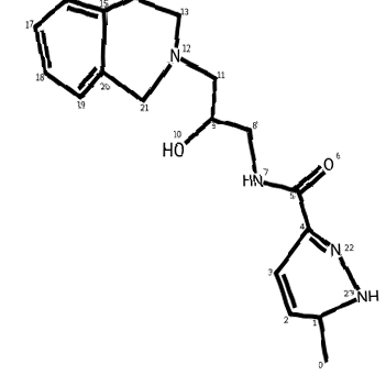 CC1C=CC(C(=O)NCC(O)CN2CCc3ccccc3C2)=NN1